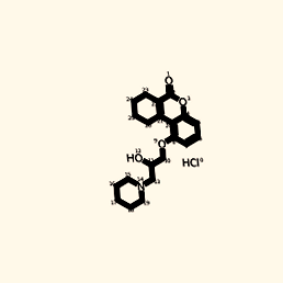 Cl.O=c1oc2cccc(OCC(O)CN3CCCCC3)c2c2c1CCCC2